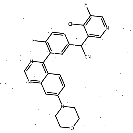 N#CC(c1ccc(F)c(-c2ncnc3cc(N4CCOCC4)ccc23)c1)c1cncc(F)c1Cl